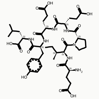 CC[C@H](C)[C@H](NC(=O)[C@@H](N)CCC(=O)O)C(=O)N1CCC[C@H]1C(=O)N[C@@H](CCC(=O)O)C(=O)N[C@@H](CCC(=O)O)C(=O)N[C@@H](Cc1ccc(O)cc1)C(=O)N[C@@H](CC(C)C)C(=O)O